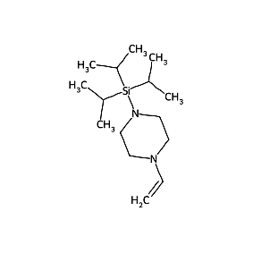 C=CN1CCN([Si](C(C)C)(C(C)C)C(C)C)CC1